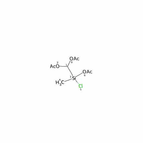 CC(=O)OC(OC(C)=O)[Si](C)(Cl)OC(C)=O